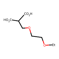 CCOCCOCC(C(=O)O)C(=O)O